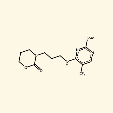 CSc1ncc(C(F)(F)F)c(NCCCN2CCCOC2=O)n1